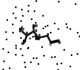 C=CC[Te]C(F)C(F)F